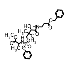 COC(=O)C(C)NP(=O)(OCC(C)(C)[C@@H](O)C(=O)NCCC(=O)OCc1ccccc1)Oc1ccccc1